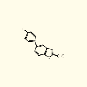 O=Cc1cc2cc(-c3ccc(F)cc3)ccc2o1